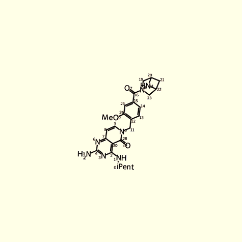 CCC[C@@H](C)Nc1nc(N)nc2ccn(Cc3ccc(C(=O)N4CC5CC(C4)N5)cc3OC)c(=O)c12